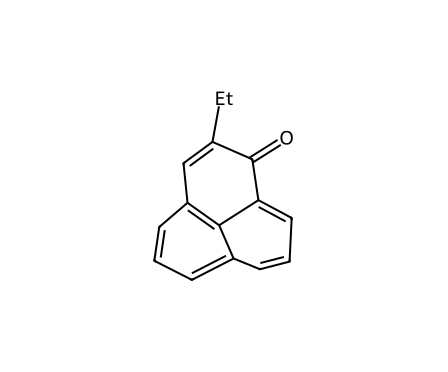 CCC1=Cc2cccc3cccc(c23)C1=O